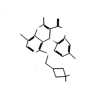 COc1cc(C#N)ccc1[C@@H]1C(C(N)=O)=C(C)Nc2c(C)cnc(OCC3CC(F)(F)C3)c21